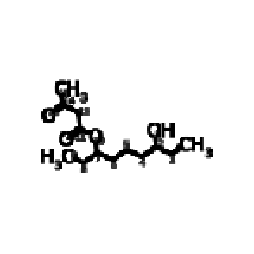 CCC(O)CCCC(CC)OC(=O)CC(C)=O